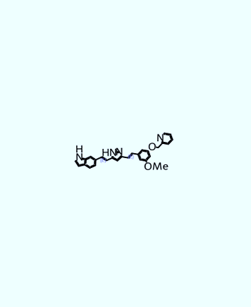 COc1cc(/C=C/c2cc(/C=C/c3ccc4cc[nH]c4c3)[nH]n2)cc(OCc2ccccn2)c1